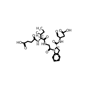 CC[C@H](C)[C@H](NC(=O)CCC(=O)O)C(=O)NCC(=O)N1c2ccccc2C[C@H]1C(=O)NC(C=O)CC(=O)O